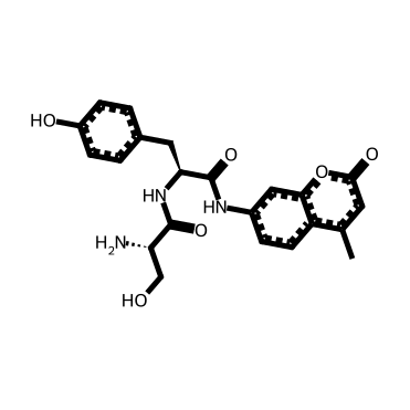 Cc1cc(=O)oc2cc(NC(=O)[C@H](Cc3ccc(O)cc3)NC(=O)[C@@H](N)CO)ccc12